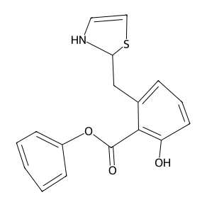 O=C(Oc1ccccc1)c1c(O)cccc1CC1NC=CS1